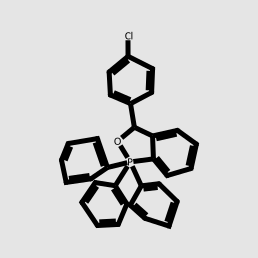 Clc1ccc(C2OP(c3ccccc3)(c3ccccc3)(c3ccccc3)c3ccccc32)cc1